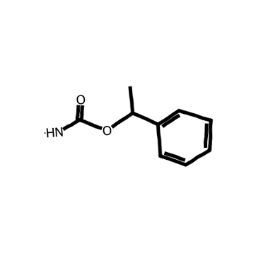 CC(OC([NH])=O)c1ccccc1